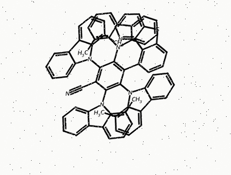 Cc1cccc2c3ccccc3n(-c3c(C#N)c(-n4c5ccccc5c5cccc(C)c54)c(-n4c5ccccc5c5cccc(C)c54)c(-c4cccc5sc6cccnc6c45)c3-n3c4ccccc4c4cccc(C)c43)c12